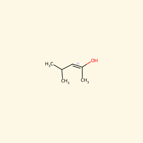 C/C(O)=C\C(C)C